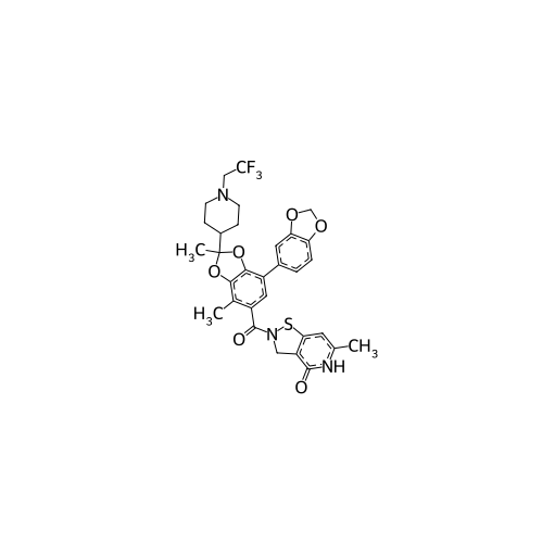 Cc1cc2c(c(=O)[nH]1)CN(C(=O)c1cc(-c3ccc4c(c3)OCO4)c3c(c1C)OC(C)(C1CCN(CC(F)(F)F)CC1)O3)S2